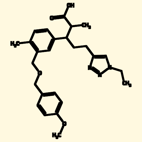 CCn1cc(CCC(c2ccc(C)c(COCc3ccc(OC)cc3)c2)C(C)C(=O)O)nn1